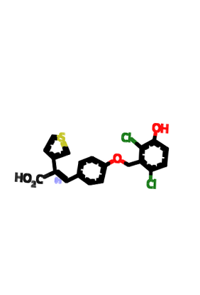 O=C(O)/C(=C/c1ccc(OCc2c(Cl)ccc(O)c2Cl)cc1)c1ccsc1